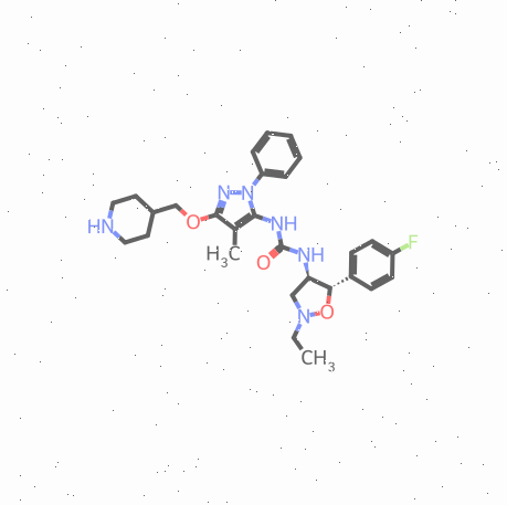 CCN1C[C@@H](NC(=O)Nc2c(C)c(OCC3CCNCC3)nn2-c2ccccc2)[C@H](c2ccc(F)cc2)O1